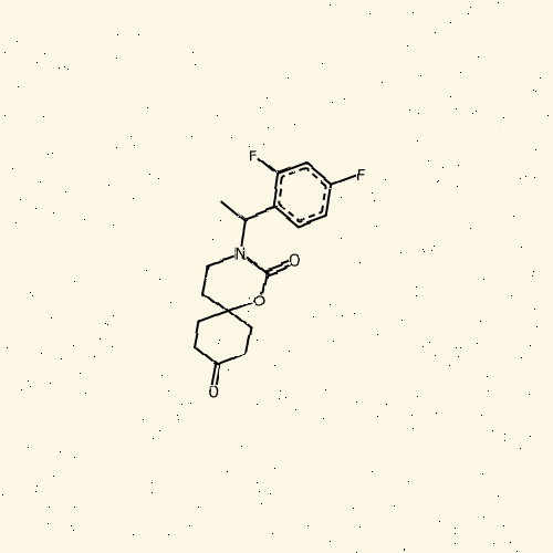 CC(c1ccc(F)cc1F)N1CCC2(CCC(=O)CC2)OC1=O